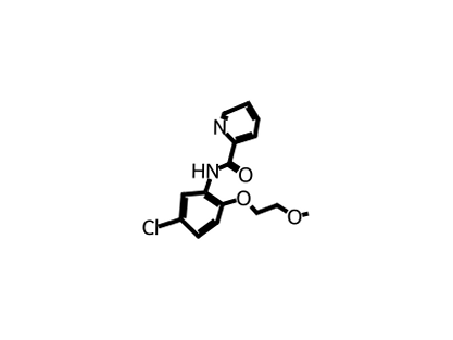 COCCOc1ccc(Cl)cc1NC(=O)c1ccccn1